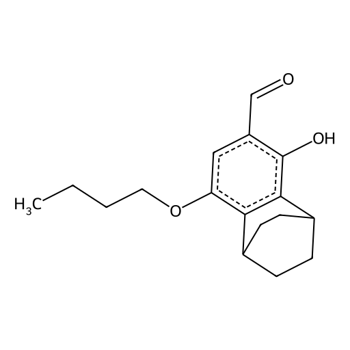 CCCCOc1cc(C=O)c(O)c2c1C1CCC2CC1